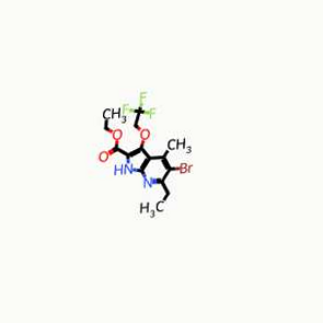 CCOC(=O)c1[nH]c2nc(CC)c(Br)c(C)c2c1OCC(F)(F)F